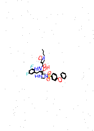 CCCCN1CC(C(=O)NC(Cc2cc(F)cc(F)c2)[C@H](O)[C@H]2CN(S(=O)(=O)c3ccc(Oc4ccccc4)cc3)CCN2)CC1=O